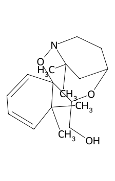 CC1(C)CC2CCN1OC1(C=CC=CC1(C)C)C(CO)O2